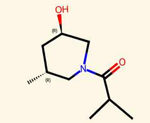 CC(C)C(=O)N1C[C@H](C)C[C@@H](O)C1